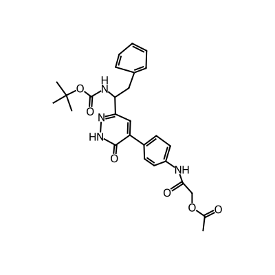 CC(=O)OCC(=O)Nc1ccc(-c2cc(C(Cc3ccccc3)NC(=O)OC(C)(C)C)n[nH]c2=O)cc1